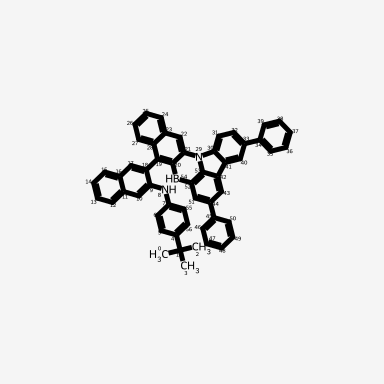 CC(C)(C)c1ccc(Nc2cc3ccccc3cc2-c2c3c(cc4ccccc24)-n2c4ccc(-c5ccccc5)cc4c4cc(-c5ccccc5)cc(c42)B3)cc1